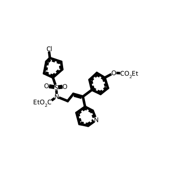 CCOC(=O)Oc1ccc(C(=CCN(C(=O)OCC)S(=O)(=O)c2ccc(Cl)cc2)c2cccnc2)cc1